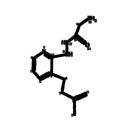 C=C(C)CCc1cccnc1NNC(=O)CN